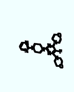 Fc1c(N2CCOCC2)nc(N2CCN(c3ncccn3)CC2)nc1N1CCOCC1